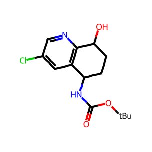 CC(C)(C)OC(=O)NC1CCC(O)c2ncc(Cl)cc21